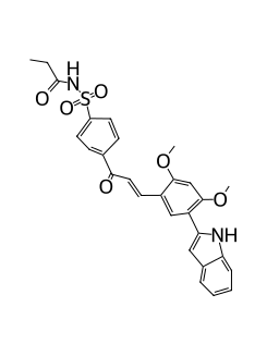 CCC(=O)NS(=O)(=O)c1ccc(C(=O)C=Cc2cc(-c3cc4ccccc4[nH]3)c(OC)cc2OC)cc1